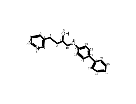 OC(CCc1ccnnc1)COc1ccc(-c2ccccc2)cc1